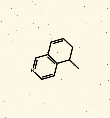 CC1CC=Cc2cnccc21